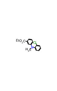 CCOC(=O)c1cccc(N(C)c2ccccc2Cl)c1